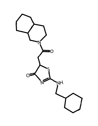 O=C1N=C(NCC2CCCCC2)SC1CC(=O)N1CCC2CCCCC2C1